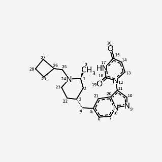 C[C@H]1C[C@H](Cc2ccn3ncc(-n4ccc(=O)[nH]c4=O)c3c2)CCN1CC1CCC1